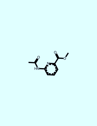 COC(=O)c1cccc(NC(C)=O)n1